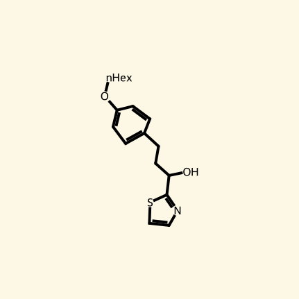 CCCCCCOc1ccc(CCC(O)c2nccs2)cc1